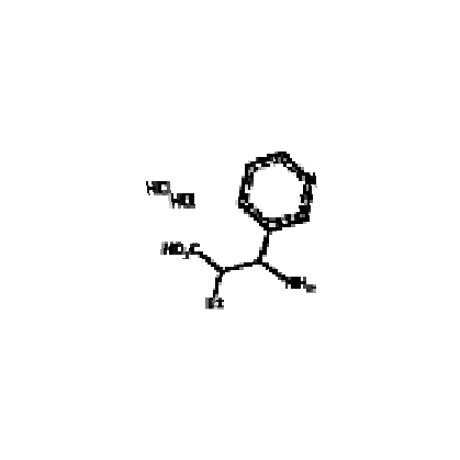 CCC(C(=O)O)C(N)c1cccnc1.Cl.Cl